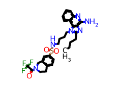 CCCCc1nc2c(N)nc3ccccc3c2n1CCCCNS(=O)(=O)c1ccc2c(c1)CN(C(=O)C(F)(F)F)CC2